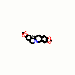 c1c2c(cc3c1OCO3)CN1CCc3cc4c(cc3[C@@H]1CC2)OCO4